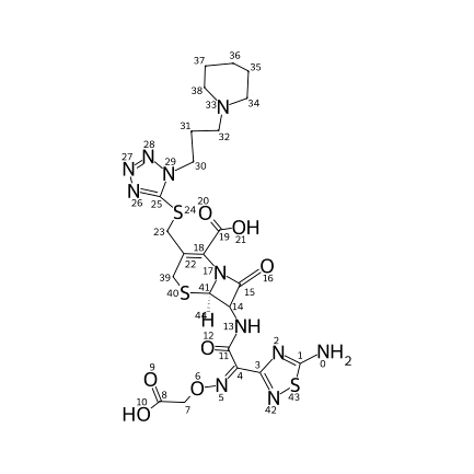 Nc1nc(/C(=N/OCC(=O)O)C(=O)NC2C(=O)N3C(C(=O)O)=C(CSc4nnnn4CCCN4CCCCC4)CS[C@H]23)ns1